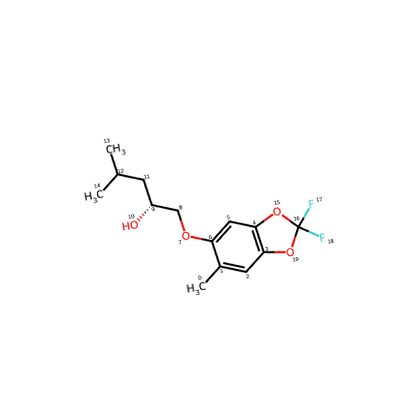 Cc1cc2c(cc1OC[C@H](O)CC(C)C)OC(F)(F)O2